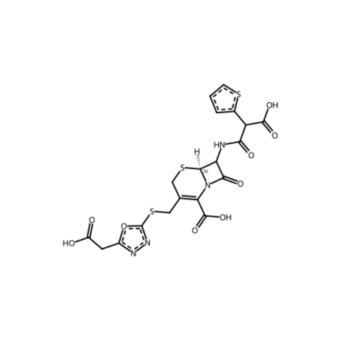 O=C(O)Cc1nnc(SCC2=C(C(=O)O)N3C(=O)C(NC(=O)C(C(=O)O)c4cccs4)[C@@H]3SC2)o1